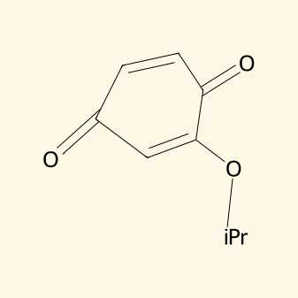 CC(C)OC1=CC(=O)C=CC1=O